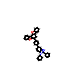 c1ccc(-c2nc3cc(-c4ccc(-c5cc6c7ccccc7oc6c6c5oc5ccccc56)cc4)ccc3n2-c2ccccc2)cc1